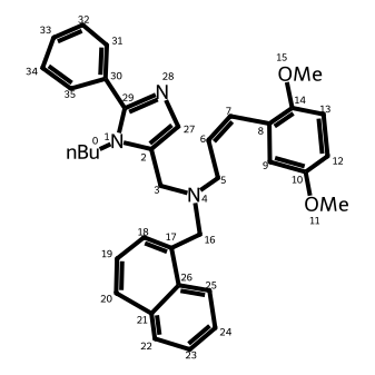 CCCCn1c(CN(C/C=C\c2cc(OC)ccc2OC)Cc2cccc3ccccc23)cnc1-c1ccccc1